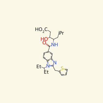 CCC(CC)n1c(Cc2cccs2)nc2cc(C(=O)NC(CC(C)C)C(O)CC(=O)O)ccc21